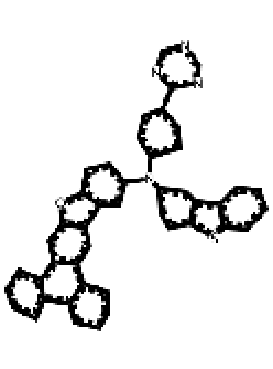 c1ccc2c(c1)sc1ccc(N(c3ccc(-c4ncncn4)cc3)c3ccc4oc5cc6c7ccccc7c7ccccc7c6cc5c4c3)cc12